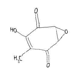 CC1=C(O)C(=O)C2OC2C1=O